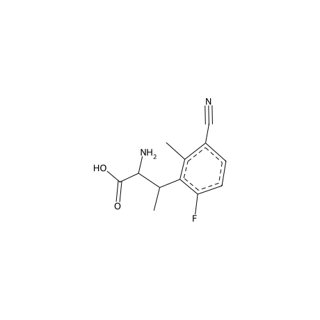 Cc1c(C#N)ccc(F)c1C(C)C(N)C(=O)O